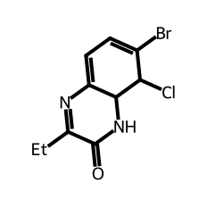 CCC1=NC2=CC=C(Br)C(Cl)C2NC1=O